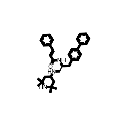 CC1(C)CC(NC[C@H](Cc2ccc(-c3ccccc3)cc2)NC(=O)/C=C/c2ccccc2)CC(C)(C)N1